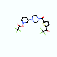 O=C(c1ccc(C(=O)C(F)(F)F)s1)N1CCN(c2ccc[n+](OC(=O)C(F)(F)F)c2)CC1